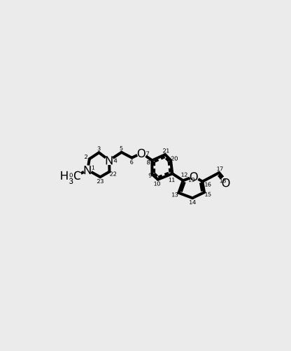 CN1CCN(CCOc2ccc(C3=CCC=C(C=O)O3)cc2)CC1